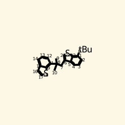 CC(C)(C)c1cccc2c(CC(C)(C)c3cccc4ccsc34)csc12